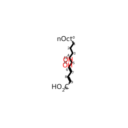 CCCCCCCCCCCCCC=CC=CC(=O)O.OO